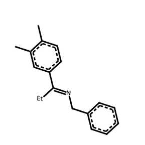 CC/C(=N\Cc1ccccc1)c1ccc(C)c(C)c1